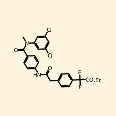 CCOC(=O)C(F)(F)c1ccc(CC(=O)Nc2ccc(C(=O)N(C)c3cc(Cl)cc(Cl)c3)cc2)cc1